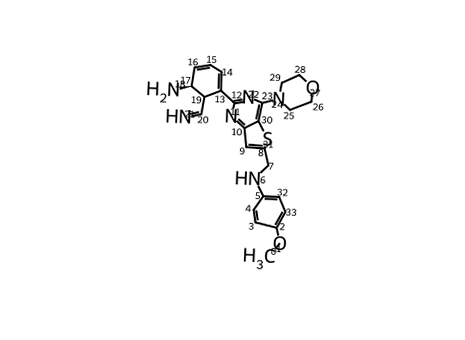 COc1ccc(NCc2cc3nc(C4=CC=C[C@H](N)C4C=N)nc(N4CCOCC4)c3s2)cc1